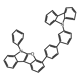 c1ccc(-n2c3ccccc3c3c4cccc(-c5ccc(-c6cccc(-n7c8ccccc8c8ccccc87)c6)cc5)c4oc32)cc1